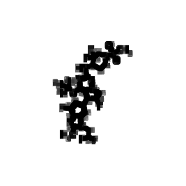 [2H]C([2H])([2H])Oc1nc(N[C@@H]2CCN(S(C)(=O)=O)CC2(F)F)nn2cc(F)c(-c3cc(F)c4nc(C)n(CC(F)F)c4c3)c12